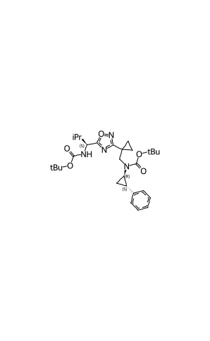 CC(C)[C@H](NC(=O)OC(C)(C)C)c1nc(C2(CN(C(=O)OC(C)(C)C)[C@@H]3C[C@H]3c3ccccc3)CC2)no1